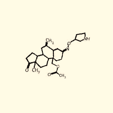 C=C1CC2C3CCC(=O)C3(C)CCC2C2(COC(C)=O)CC/C(=N/OC3CCNC3)CC12